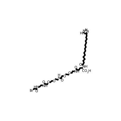 O=C(CBr)NCCNC(=O)COCCOCCNC(=O)COCCOCCNC(=O)CC[C@H](NC(=O)CCCCCCCCCCCCCCCc1nnn[nH]1)C(=O)O